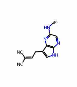 CC(C)Nc1cnc2[nH]cc(CC=C(C#N)C#N)c2n1